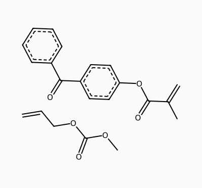 C=C(C)C(=O)Oc1ccc(C(=O)c2ccccc2)cc1.C=CCOC(=O)OC